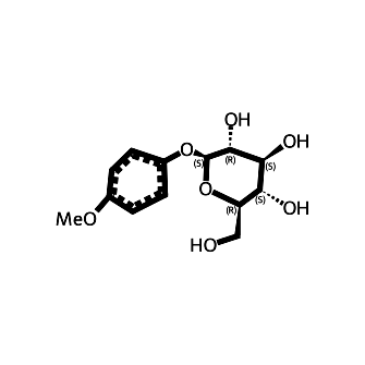 COc1ccc(O[C@@H]2O[C@H](CO)[C@@H](O)[C@H](O)[C@H]2O)cc1